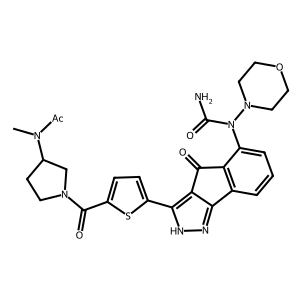 CC(=O)N(C)C1CCN(C(=O)c2ccc(-c3[nH]nc4c3C(=O)c3c-4cccc3N(C(N)=O)N3CCOCC3)s2)C1